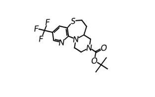 CC(C)(C)OC(=O)N1CCN2c3ncc(C(F)(F)F)cc3SCCC2C1